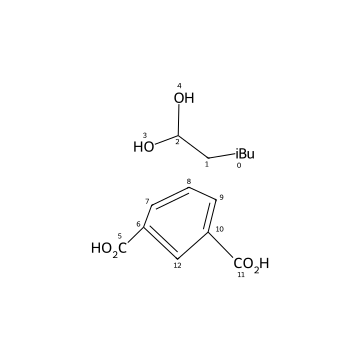 CCC(C)CC(O)O.O=C(O)c1cccc(C(=O)O)c1